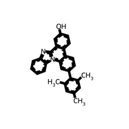 Cc1cc(C)c(-c2ccc3c4ccc(O)cc4c4nc5ccccc5n4c3c2)c(C)c1